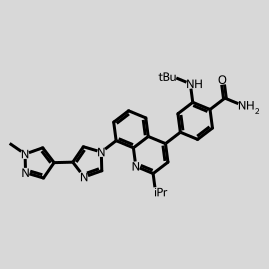 CC(C)c1cc(-c2ccc(C(N)=O)c(NC(C)(C)C)c2)c2cccc(-n3cnc(-c4cnn(C)c4)c3)c2n1